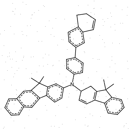 CC1(C)C2=C(C=CC(N(c3ccc(-c4ccc5c(c4)C=CCC5)cc3)c3ccc4c(c3)C(C)(C)c3cc5ccccc5cc3-4)C2)c2ccccc21